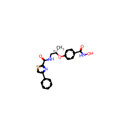 C[C@@H](CNC(=O)c1nc(-c2ccccc2)cs1)Oc1ccc(C(=O)NO)cc1